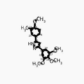 COc1ccc(-c2cc(-c3cc(OC)c(OC)c(OC)c3)n[nH]2)cc1C